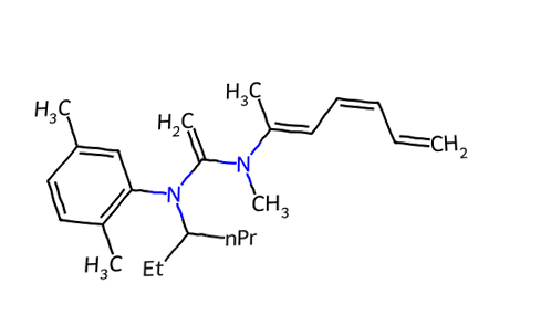 C=C/C=C\C=C(/C)N(C)C(=C)N(c1cc(C)ccc1C)C(CC)CCC